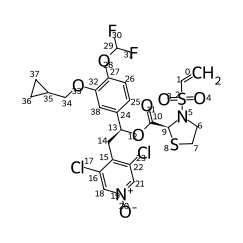 C=CS(=O)(=O)N1CCS[C@H]1C(=O)O[C@@H](Cc1c(Cl)c[n+]([O-])cc1Cl)c1ccc(OC(F)F)c(OCC2CC2)c1